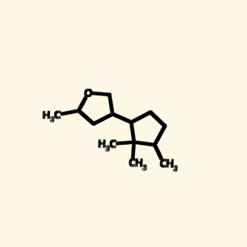 CC1CC(C2CCC(C)C2(C)C)CO1